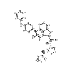 C=CC(=O)N[C@H]1CCC[C@H]1NC(=O)c1sc2nccc3c2c1NC(=O)N3c1ccc(Oc2ccccc2)cc1